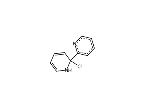 ClC1(c2ccccn2)C=CC=CN1